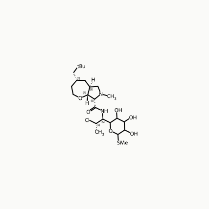 CSC1OC([C@H](NC(=O)[C@@H]2[C@@H]3OCC[C@H](CC(C)(C)C)C[C@H]3CN2C)[C@H](C)Cl)C(O)C(O)C1O